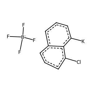 Clc1cccc2ccc[c]([K])c12.F[B-](F)(F)F